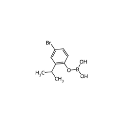 CC(C)c1cc(Br)ccc1OB(O)O